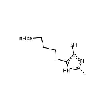 CCCCCCCCCCc1[nH]c(C)nc1S